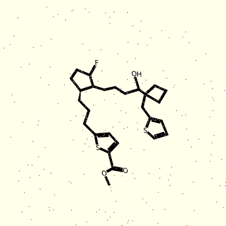 COC(=O)c1ccc(CCC[C@H]2CCC(F)C2CCCC(O)C2(Cc3cccs3)CCC2)s1